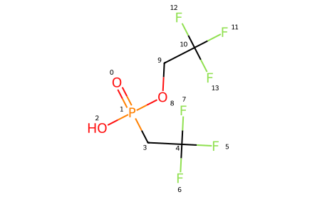 O=P(O)(CC(F)(F)F)OCC(F)(F)F